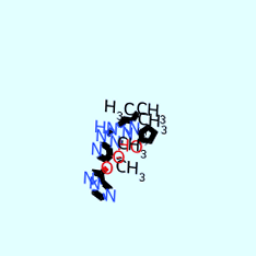 COc1c(Oc2cnn3ccncc23)cnc2nc(Nc3cc(C(C)(C)C)n([C@H]4CCC[C@@H]4O)n3)n(C)c12